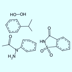 CC(=O)N(N)c1ccccc1.CC(C)c1ccccc1.O=C1NS(=O)(=O)c2ccccc21.OO